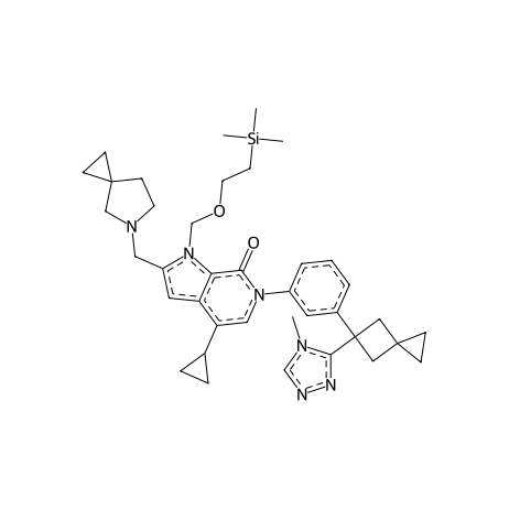 Cn1cnnc1C1(c2cccc(-n3cc(C4CC4)c4cc(CN5CCC6(CC6)C5)n(COCC[Si](C)(C)C)c4c3=O)c2)CC2(CC2)C1